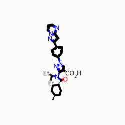 CCC(CC)N(c1nn(-c2ccc(-c3cc4ncccn4n3)cc2)cc1C(=O)O)C(=O)[C@H]1CC[C@H](C)CC1